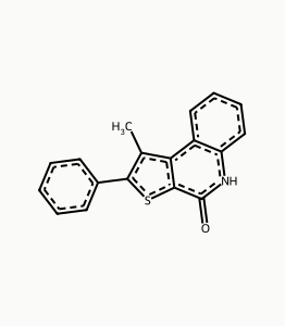 Cc1c(-c2ccccc2)sc2c(=O)[nH]c3ccccc3c12